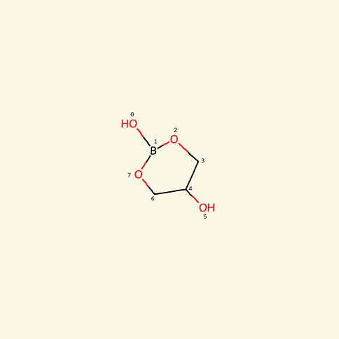 OB1OCC(O)CO1